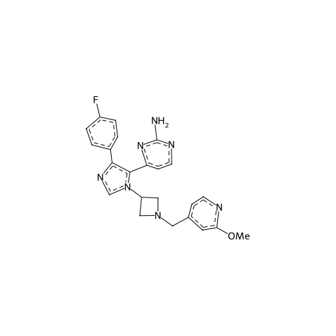 COc1cc(CN2CC(n3cnc(-c4ccc(F)cc4)c3-c3ccnc(N)n3)C2)ccn1